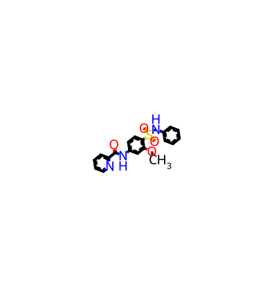 COc1cc(NC(=O)c2ccccn2)ccc1S(=O)(=O)Nc1ccccc1